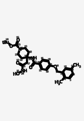 Cc1ccc(C)c(COc2ccc(C(=O)NC3(CC(=O)NO)CCN(C(=O)OC(C)(C)C)CC3)cc2)c1